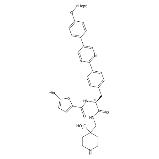 CCCCCCCOc1ccc(-c2cnc(-c3ccc(C[C@H](NC(=O)c4ccc(C(C)(C)C)s4)C(=O)NCC4(C(=O)O)CCNCC4)cc3)nc2)cc1